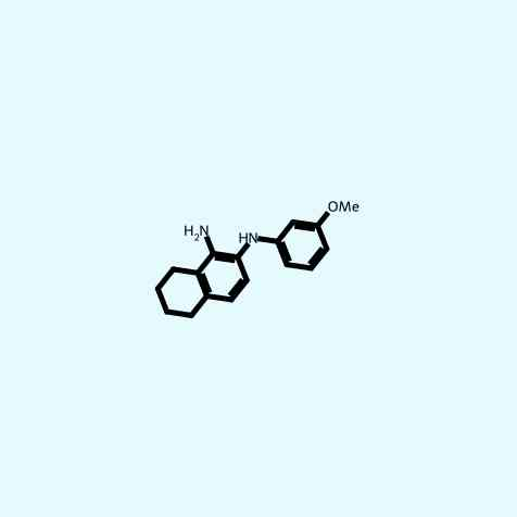 COc1cccc(Nc2ccc3c(c2N)CCCC3)c1